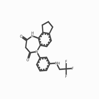 O=C1CC(=O)N(c2cccc(NCC(F)(F)F)c2)c2ccc3c(c2N1)CCC3